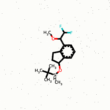 COC(c1cccc2c1CCC2O[SiH](C)C(C)(C)C)C(F)F